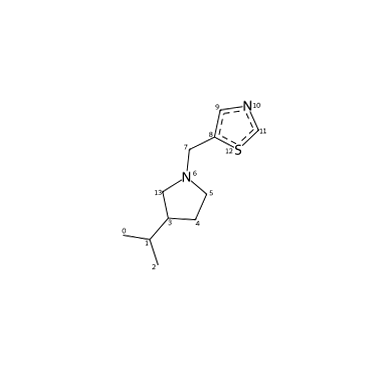 CC(C)C1CCN(Cc2cncs2)C1